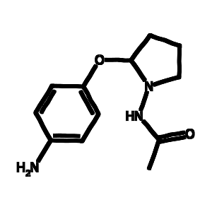 CC(=O)NN1CCCC1Oc1ccc(N)cc1